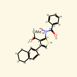 COC(=O)c1c(-c2ccc3c(c2)CCCC3)csc1N(I)C(=O)c1ccccc1